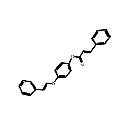 O=C(/C=C/c1ccccc1)Oc1ccc(O/C=C/c2ccccc2)cc1